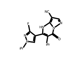 CC(C)c1c(-c2cn(C(C)C)nc2F)[nH]c2c(C#N)cnn2c1=O